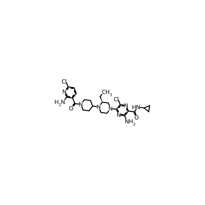 CC[C@H]1CN(c2nc(N)c(C(=O)NC3CC3)nc2Cl)CCN1C1CCN(C(=O)c2ccc(Cl)nc2N)CC1